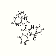 CC(c1nc2cccn2c(=O)n1-c1ccccc1)n1cnc2c(N)ncnc21